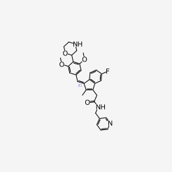 COc1cc(/C=C2/C(C)=C(CC(=O)NCc3cccnc3)c3cc(F)ccc32)cc(OC)c1C1CNCCO1